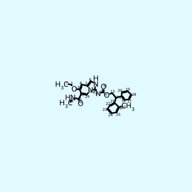 CCOc1cc2c[nH]/c(=N\C(=O)OCC(c3ccccc3)c3ccccc3C)n2cc1C(=O)NC